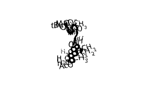 C=C(C)[C@@H]1CC[C@]2(C(=O)NCCNC(=O)[C@H](C)[C@@H](OC)C3CCCN3C(=O)OC(C)(C)C)CC[C@]3(C)C(CCC4[C@@]5(C)CC[C@H](OC(C)=O)C(C)(C)C5CC[C@]43C)[C@@H]12